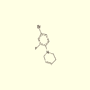 Fc1cc(Br)ccc1N1CC=[C]CC1